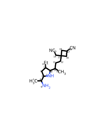 CCC1CC(C(C)N)NC1C(C)CCC1(CC#N)CC(C#N)C1